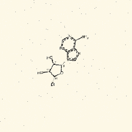 CC[C@H]1O[C@@H](n2cnc3c(N)ncnc32)[C@H](O)[C@@H]1O